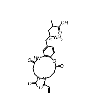 C=CC(=O)N1CCC(=O)Oc2ccc(C[C@H](N)CC(C)C(=O)O)cc2NC(=O)CCN1C(C)=O